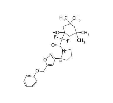 CC1(C)CC(C)(C)CC(O)(C(F)(F)C(=O)N2CCC[C@H]2c2cc(COc3ccccc3)on2)C1